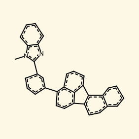 Cn1c(-c2cccc(-c3ccc4c5c(cccc35)-c3c-4ccc4ccccc34)c2)nc2ccccc21